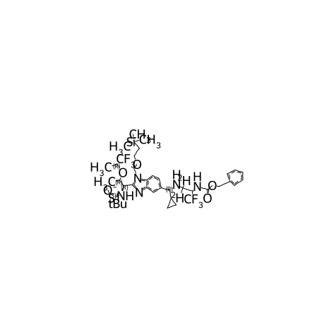 [2H]C([2H])(N[C@@H](c1ccc2c(c1)nc([C@@H](N[S@+]([O-])C(C)(C)C)[C@@H](C)O[C@H](C)C(F)(F)F)n2COCC[Si](C)(C)C)C1CC1)C(NC(=O)OCc1ccccc1)C(F)(F)F